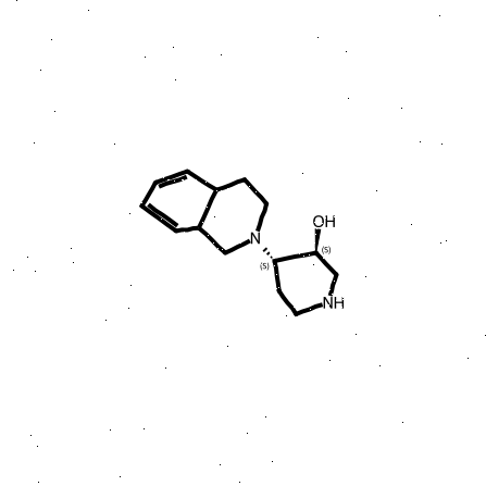 O[C@H]1CNCC[C@@H]1N1CCC2C=CC=CC2C1